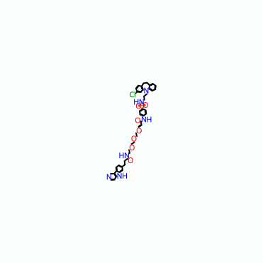 O=C(C=COCCOCCOCCNC(=O)CCc1ccc2c(c1)[nH]c1ccncc12)Nc1ccc(S(=O)(=O)NCCCN2c3ccccc3CCc3ccc(Cl)cc32)cc1